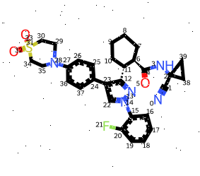 N#CC1(NC(=O)[C@@H]2CCCC[C@H]2c2nn(-c3ccccc3F)cc2-c2ccc(N3CCS(=O)(=O)CC3)cc2)CC1